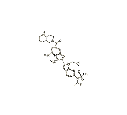 COc1cc(C(=O)N2CCC3NCCCC3C2)cc2nc(-c3cc4ccc(N(C(F)F)S(C)(=O)=O)nc4n3CC3CC3)c(C)n12